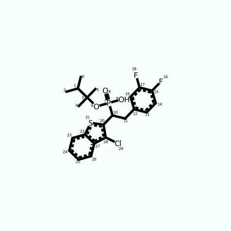 CC(C)C(C)(C)OP(=O)(O)C(Cc1ccc(F)c(F)c1)c1sc2ccccc2c1Cl